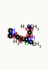 CC1CCN(c2c(NS(=O)(=O)c3ccc(S(=O)(=O)N(C)C)cc3)ccc(CC(C)(C)S(=O)(=O)c3ccc(S(=O)(=O)Nc4ccccc4N4CCCCC4)cc3)c2Cl)CC1